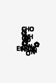 CCOc1ccc(S(=O)(=O)NC2CCN(C=O)C2)cc1-c1nn2c(C3CCCC3)nnc2c(=O)[nH]1